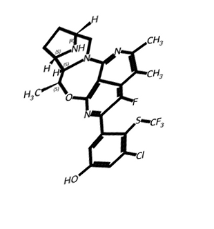 Cc1nc2c3c(nc(-c4cc(O)cc(Cl)c4SC(F)(F)F)c(F)c3c1C)O[C@@H](C)[C@@H]1[C@@H]3CC[C@H](CN21)N3